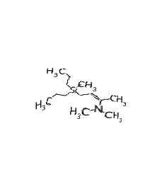 CCC[Si](C)(CC=C(C)N(C)C)CCC